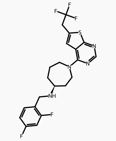 Fc1ccc(CN[C@H]2CCCN(c3ncnc4sc(CC(F)(F)F)cc34)CC2)c(F)c1